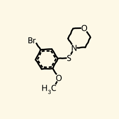 COc1ccc(Br)cc1SN1CCOCC1